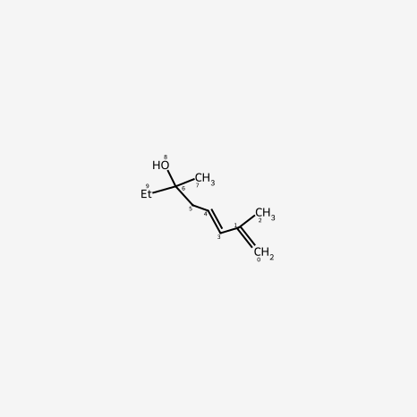 C=C(C)C=CCC(C)(O)CC